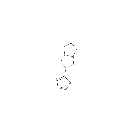 c1csc(C2CC3CCCN3C2)n1